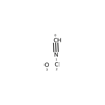 C#N.[C].[O]